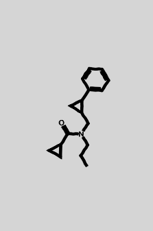 CCCN(CC1CC1c1ccccc1)C(=O)C1CC1